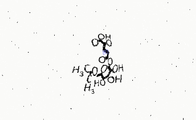 CC(C)OCC1OC(OC(=O)/C=C/C(=O)C(=O)O)C(O)C(O)C1O